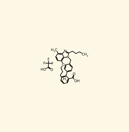 CCCCOc1ccc(C)c2nc(CCCC)n(Cc3ccc(-c4ccccc4C(=O)O)cc3)c12.O=C(O)C(F)(F)F